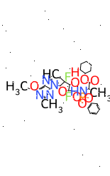 C#C[C@]1(F)[C@H](n2cnc3c(OCC)nc(C)nc32)O[C@](F)(COP(=O)(NC(C)C(=O)OC2CCCCC2)Oc2ccccc2)[C@H]1O